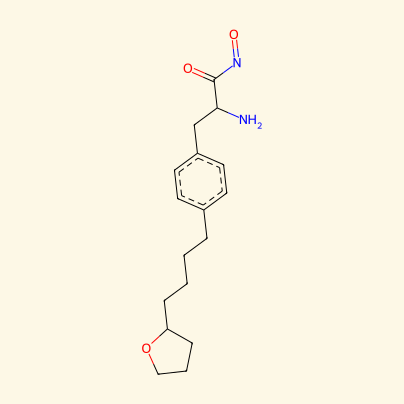 NC(Cc1ccc(CCCCC2CCCO2)cc1)C(=O)N=O